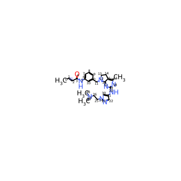 C/C=C/C(=O)Nc1cccc(CN2CCc3c(C)nc(Nc4cnn(CCN(C)C)c4)nc32)c1